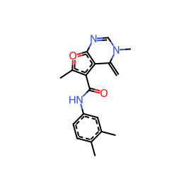 C=C1c2c(oc(C)c2C(=O)Nc2ccc(C)c(C)c2)N=CN1C